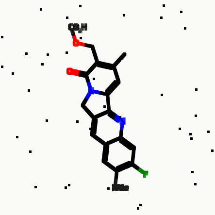 CNc1cc2cc3c(nc2cc1F)-c1cc(C)c(COC(=O)O)c(=O)n1C3